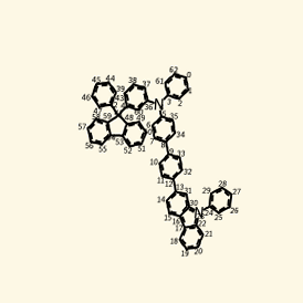 c1ccc(N(c2ccc(-c3ccc(-c4ccc5c6ccccc6n(-c6ccccc6)c5c4)cc3)cc2)c2cccc(C3(c4ccccc4)c4ccccc4-c4ccccc43)c2)cc1